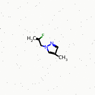 C=C(F)Cn1cc(C)cn1